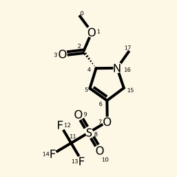 COC(=O)[C@H]1C=C(OS(=O)(=O)C(F)(F)F)CN1C